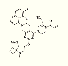 C=CC(=O)N1CCN(c2nc(OCCN(C)C3(COC)CCC3)nc3c2CCN(c2cccc4ccc(F)c(Cl)c24)C3)C[C@@H]1CC#N